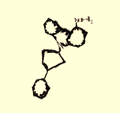 Nc1cccc2c1c1ccccc1n2C1=CC=C(c2ccccc2)CC1